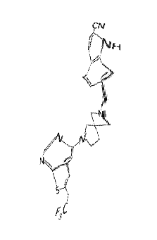 N#Cc1cc2ccc(CN3CC4(CCN(c5ncnc6sc(CC(F)(F)F)cc56)C4)C3)cc2[nH]1